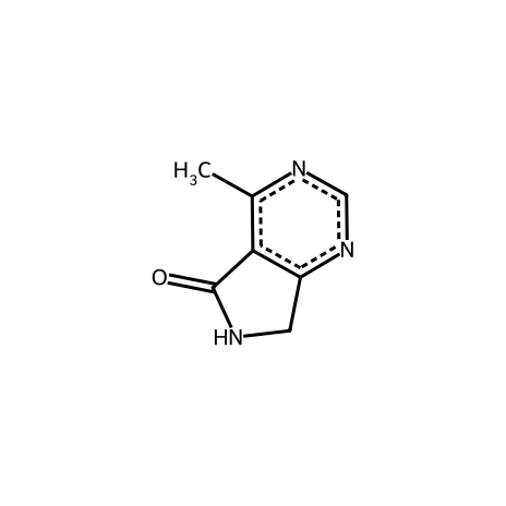 Cc1ncnc2c1C(=O)NC2